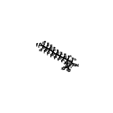 O=S(=O)(F)NC(F)(C(O)(F)F)C(F)(F)C(F)(F)C(F)(F)C(F)(F)C(F)(F)C(F)(F)C(F)(F)C(F)(F)F